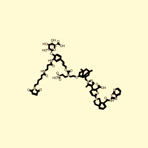 Cc1c(-c2ccc(N3CCc4cccc(C(=O)Nc5nc6cccnc6s5)c4C3)nc2C(=O)O)cnn1CC12CC3(C)CC(C)(C1)CC(OCCN(CCS(=O)(=O)O)C(=O)OC/C=C/c1ccc(O[C@@H]4O[C@H](C(=O)O)[C@@H](O)[C@H](O)[C@H]4O)c(NC(=O)CCNC(=O)CCCCCN4C(=O)C=CC4=O)c1)(C3)C2